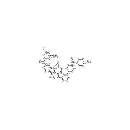 Cc1c(-c2cc3cccc(C4CCN(C(=O)[C@H]5CC[C@@H](O)CC5)CC4)c3n2CC2CC2)nn2cc(C(=O)N3C[C@H](N)C[C@@H](F)C3)ccc12